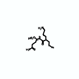 CC(=O)SCC(CCCN)C(=O)N[C@@H](CCC(N)=O)C(=O)O